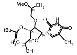 CO[C@@H](C)COC1[C@@H](OC(=O)C(C)(C)C)[C@@H]([C@@H](C)O)O[C@H]1n1cc(C)c(=O)[nH]c1=O